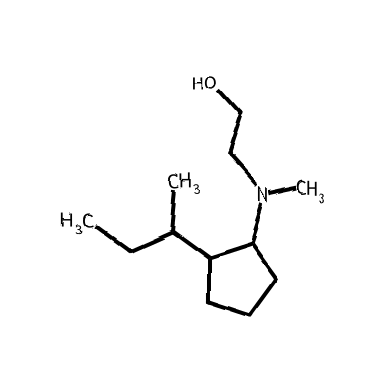 CCC(C)C1CCCC1N(C)CCO